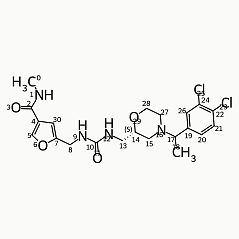 CNC(=O)c1coc(CNC(=O)NC[C@H]2CN(C(C)c3ccc(Cl)c(Cl)c3)CCO2)c1